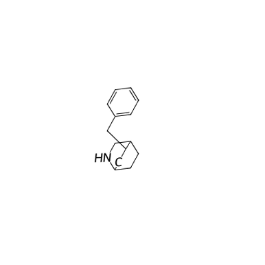 c1ccc(CC2CC3CCC2CN3)cc1